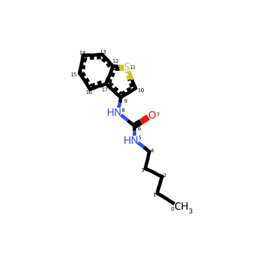 CCCCCNC(=O)Nc1csc2ccccc12